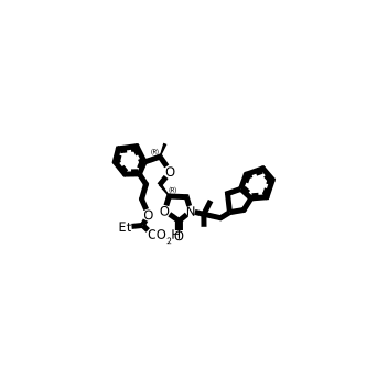 CCC(OCCc1ccccc1[C@@H](C)OC[C@H]1CN(C(C)(C)CC2Cc3ccccc3C2)C(=O)O1)C(=O)O